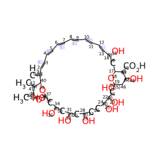 C[C@H]1/C=C/C=C/C=C/C=C/C=C/C=C/[C@H](O)CC2O[C@](O)(C[C@@H](O)[C@H](O)CC[C@@H](O)C[C@@H](O)C[C@@H](O)C[C@]3(O)OC1[C@H](C)[C@@H](C)O3)C[C@H](O)[C@H]2C(=O)O